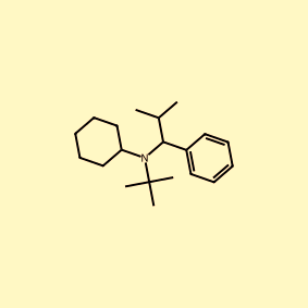 CC(C)C(c1ccccc1)N(C1CCCCC1)C(C)(C)C